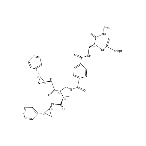 CCCCCCCC(=O)N[C@@H](CNC(=O)c1ccc(C(=O)N2C[C@@H](C(=O)N[C@H]3C[C@@H]3c3ccccc3)[C@H](C(=O)N[C@H]3C[C@@H]3c3ccccc3)C2)cc1)C(=O)NCCCCCC